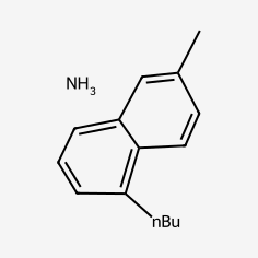 CCCCc1cccc2cc(C)ccc12.N